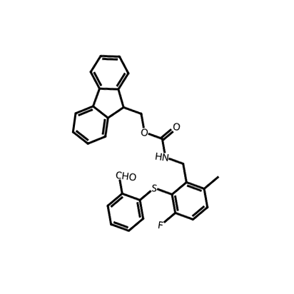 Cc1ccc(F)c(Sc2ccccc2C=O)c1CNC(=O)OCC1c2ccccc2-c2ccccc21